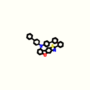 C1=CC(N(c2ccc(-c3ccccc3)cc2)c2cccc3oc4cc5nc(-c6ccccc6)sc5cc4c23)CC=C1c1ccccc1